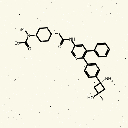 CCC(=O)N(C(C)C)[C@H]1CC[C@H](CC(=O)Nc2cnc(-c3ccc([C@]4(N)C[C@](C)(O)C4)cc3)c(-c3ccccc3)c2)CC1